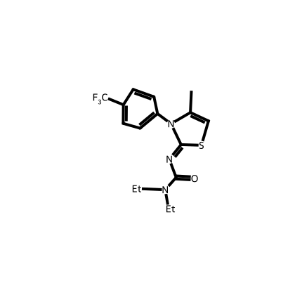 CCN(CC)C(=O)N=c1scc(C)n1-c1ccc(C(F)(F)F)cc1